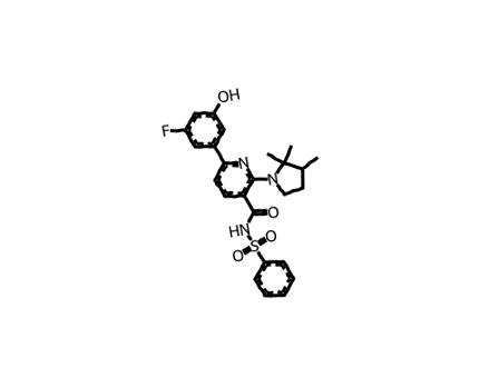 CC1CCN(c2nc(-c3cc(O)cc(F)c3)ccc2C(=O)NS(=O)(=O)c2ccccc2)C1(C)C